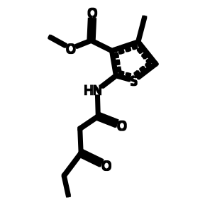 CCC(=O)CC(=O)Nc1scc(C)c1C(=O)OC